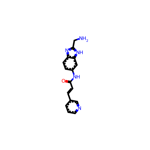 NCc1nc2ccc(NC(=O)C=Cc3cccnc3)cc2[nH]1